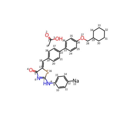 CC(=O)O.O=C1N=C(Nc2cc[c]([Na])cc2)SC1=Cc1ccc(-c2ccc(OCC3CCCCC3)cc2)cc1